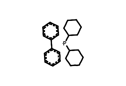 C1CCC([P]C2CCCCC2)CC1.c1ccc(-c2ccccc2)cc1